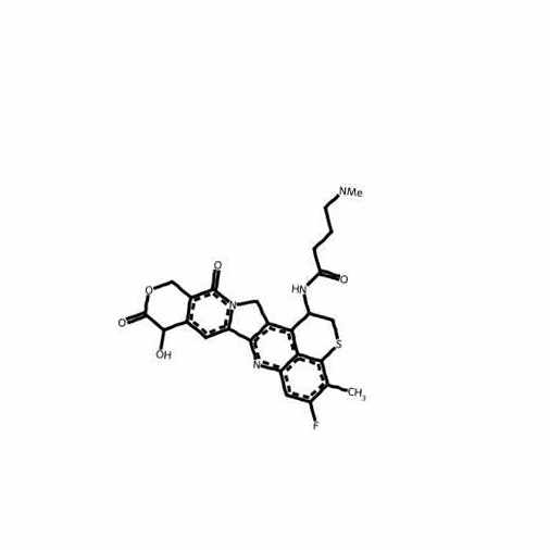 CNCCCC(=O)NC1CSc2c(C)c(F)cc3nc4c(c1c23)Cn1c-4cc2c(c1=O)COC(=O)C2O